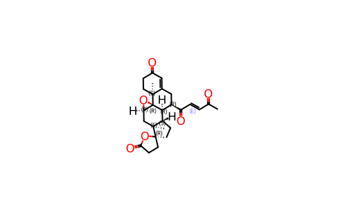 CC(=O)/C=C/C(=O)[C@@H]1CC2=CC(=O)CC[C@]2(C)[C@@]23O[C@@H]2C[C@@]2(C)[C@@H](CC[C@@]24CCC(=O)O4)[C@H]13